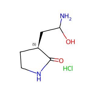 Cl.NC(O)C[C@@H]1CCNC1=O